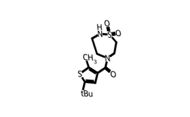 Cc1sc(C(C)(C)C)cc1C(=O)N1CCNS(=O)(=O)CC1